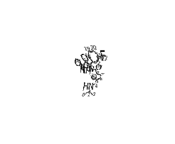 CC(C)NCc1ccc(C(=O)Nc2c(C(N)=O)oc3ccc(F)cc23)o1